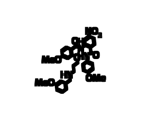 COc1ccc(NC(=O)c2ccc([N+](=O)[O-])cc2NC(=O)c2ccc(OC)cc2OCCCNCc2cccc(OC)c2)cc1